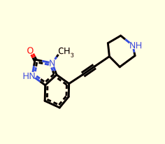 Cn1c(=O)[nH]c2cccc(C#CC3CCNCC3)c21